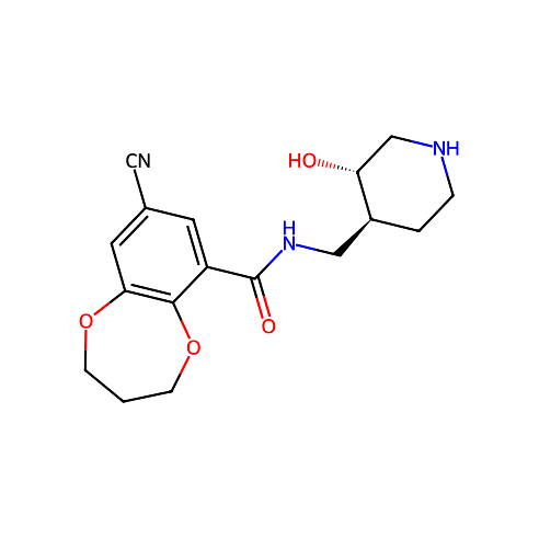 N#Cc1cc2c(c(C(=O)NC[C@@H]3CCNC[C@H]3O)c1)OCCCO2